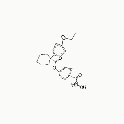 CCOc1ccc(C2(C(=O)Oc3ccc(C(=O)NO)cc3)CCCCC2)cc1